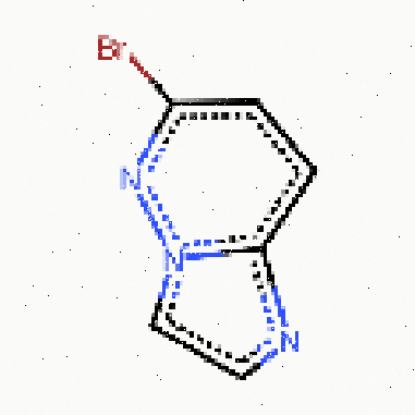 Brc1ccc2nccn2n1